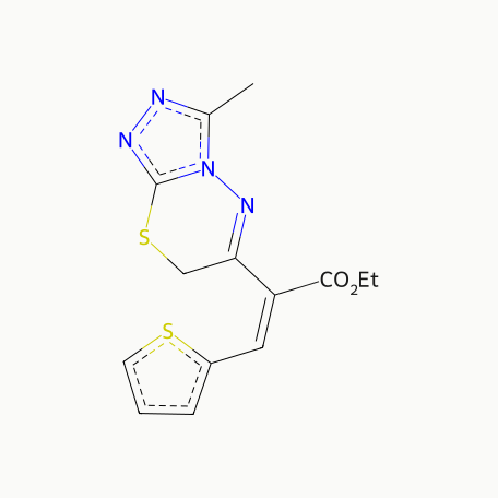 CCOC(=O)/C(=C/c1cccs1)C1=Nn2c(C)nnc2SC1